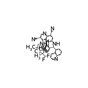 CC(C)(C)CNc1c(C#N)cnc2c(C#N)cc(N[C@H](C3=CN(C4(C(F)F)CC4)NN3)c3cccc4ncccc34)cc12